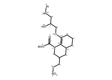 COC(=O)N1CC(CO[N+](=O)[O-])CC2CCCC(OCC(O)CNC(C)C)=C21